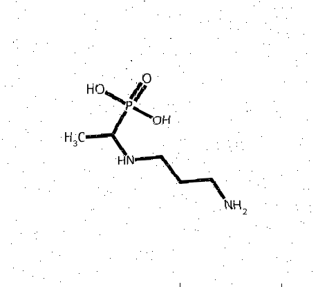 CC(NCCCN)P(=O)(O)O